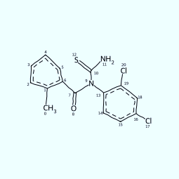 Cc1ccccc1C(=O)N(C(N)=S)c1ccc(Cl)cc1Cl